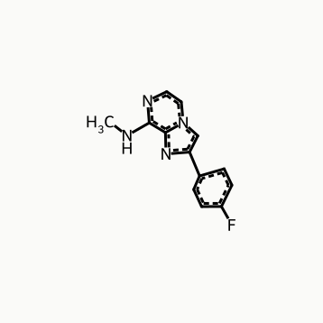 CNc1nccn2cc(-c3ccc(F)cc3)nc12